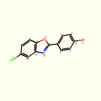 Clc1ccc2oc(-c3ccc(Br)cc3)nc2c1